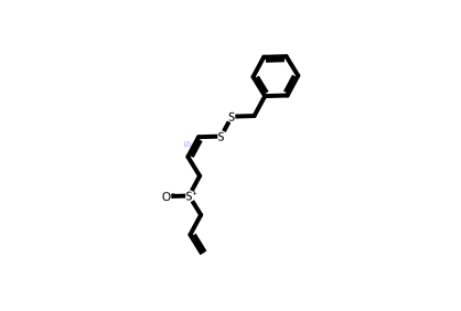 C=CC[S+]([O-])C/C=C\SSCc1ccccc1